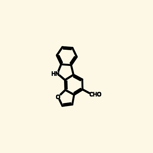 O=Cc1cc2c3ccccc3[nH]c2c2occc12